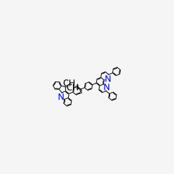 CC1(C)c2ccccc2-c2nc3ccccc3c(-c3ccc(-c4ccc(-c5cc6ccc(-c7ccccc7)nc6c6nc(-c7ccccc7)ccc56)cc4)cc3)c21